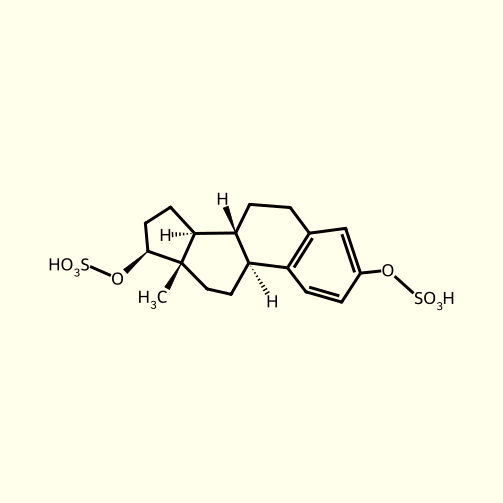 C[C@]12CC[C@@H]3c4ccc(OS(=O)(=O)O)cc4CC[C@H]3[C@@H]1CC[C@@H]2OS(=O)(=O)O